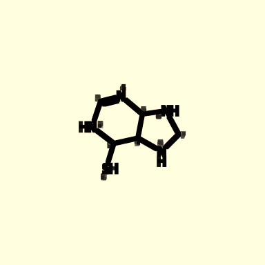 SC1NC=NC2NCNC12